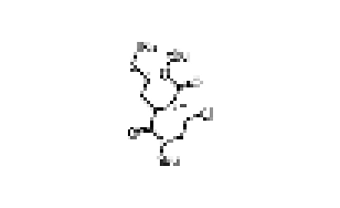 CCCCN(CCCl)C(=O)C(CSSC(C)(C)C)NC(=O)OC(C)(C)C